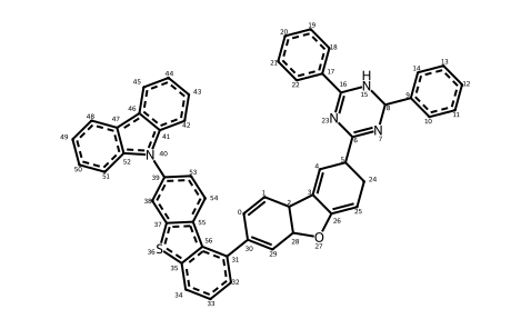 C1=CC2C3=CC(C4=NC(c5ccccc5)NC(c5ccccc5)=N4)CC=C3OC2C=C1c1cccc2sc3cc(-n4c5ccccc5c5ccccc54)ccc3c12